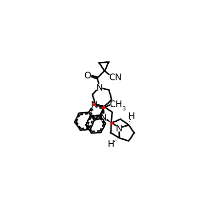 Cc1nc2ccccc2n1[C@H]1C[C@H]2CC[C@@H](C1)N2CCC1(c2ccccc2)CCN(C(=O)C2(C#N)CC2)CC1